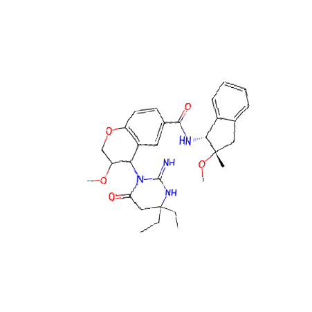 CCC1(CC)CC(=O)N(C2c3cc(C(=O)N[C@@H]4c5ccccc5C[C@]4(C)OC)ccc3OCC2OC)C(=N)N1